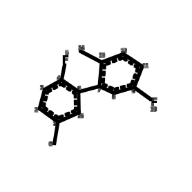 Cc1ccc(F)c(-c2cc(F)ccc2C)c1